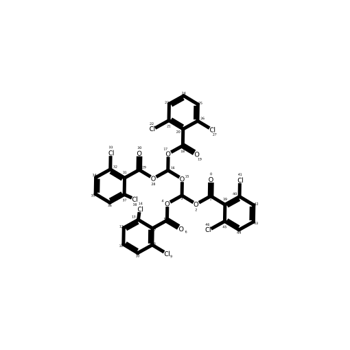 O=C(OC(OC(=O)c1c(Cl)cccc1Cl)OC(OC(=O)c1c(Cl)cccc1Cl)OC(=O)c1c(Cl)cccc1Cl)c1c(Cl)cccc1Cl